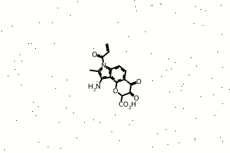 C=CC(=O)n1c(C)c(N)c2c3c(ccc21)C(=O)C(=O)C(C(=O)O)O3